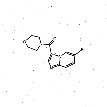 O=C(c1cnc2ccc(Br)cn12)N1CCOCC1